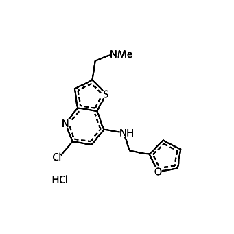 CNCc1cc2nc(Cl)cc(NCc3ccco3)c2s1.Cl